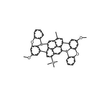 COc1cc2c3c(c1)-c1cc(C)c4cc5c6c(cc([Si](C)(C)C)c7cc(c1c4c76)B3c1ccccc1O2)-c1cc(OC)cc2c1B5c1ccccc1O2